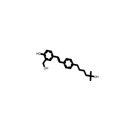 CC(C)(O)CCCCc1ccc(/C=C/c2ccc(O)c(CO)c2)cc1